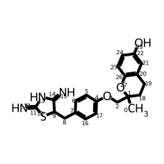 CC1(COc2ccc(CC3SC(=N)NC3=N)cc2)CCc2cc(O)ccc2O1